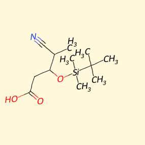 CC(C#N)C(CC(=O)O)O[Si](C)(C)C(C)(C)C